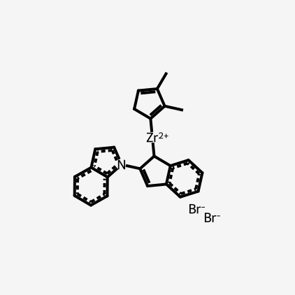 CC1=CC[C]([Zr+2][CH]2C(n3ccc4ccccc43)=Cc3ccccc32)=C1C.[Br-].[Br-]